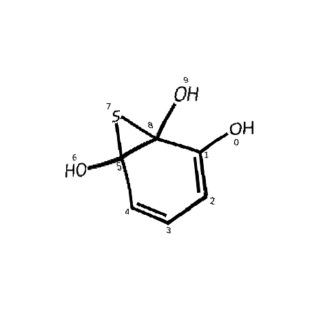 OC1=CC=CC2(O)SC12O